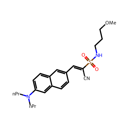 CCCN(CCC)c1ccc2cc(/C=C(\C#N)S(=O)(=O)NCCCOC)ccc2c1